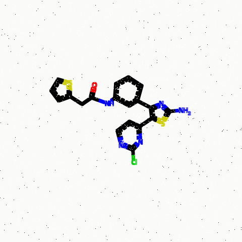 Nc1nc(-c2cccc(NC(=O)Cc3cccs3)c2)c(-c2ccnc(Cl)n2)s1